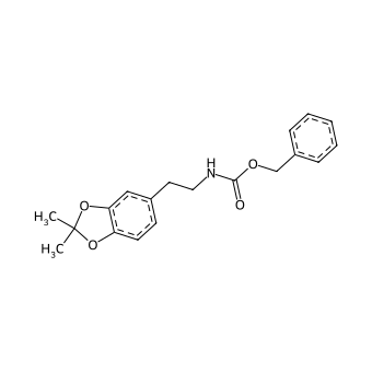 CC1(C)Oc2ccc(CCNC(=O)OCc3ccccc3)cc2O1